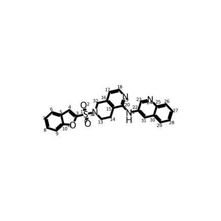 O=S(=O)(c1cc2ccccc2o1)N1CCc2c(ccnc2Nc2cnc3ccccc3c2)C1